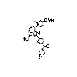 COc1ccc(-c2ccnc3[nH]c(-c4ccc(C(=O)N5CCN(C)CC5)cc4)nc23)c(C)c1.Cl